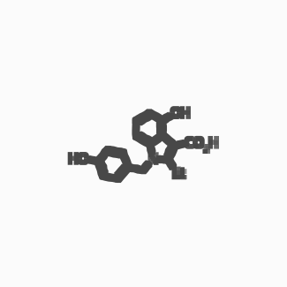 CCc1c(C(=O)O)c2c(O)cccc2n1Cc1ccc(O)cc1